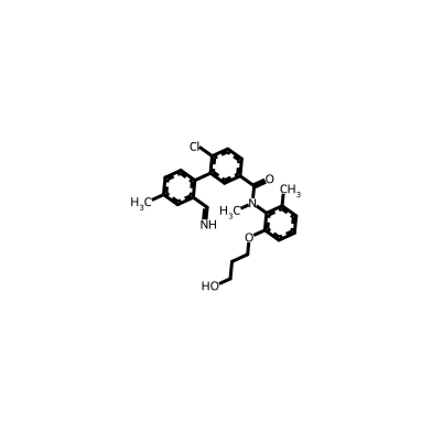 Cc1ccc(-c2cc(C(=O)N(C)c3c(C)cccc3OCCCO)ccc2Cl)c(C=N)c1